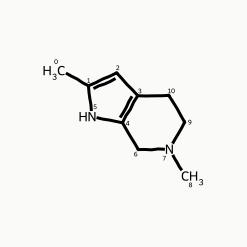 Cc1cc2c([nH]1)CN(C)CC2